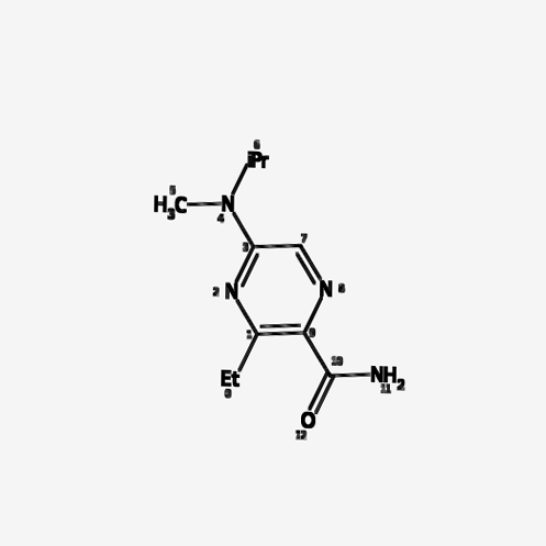 CCc1nc(N(C)C(C)C)cnc1C(N)=O